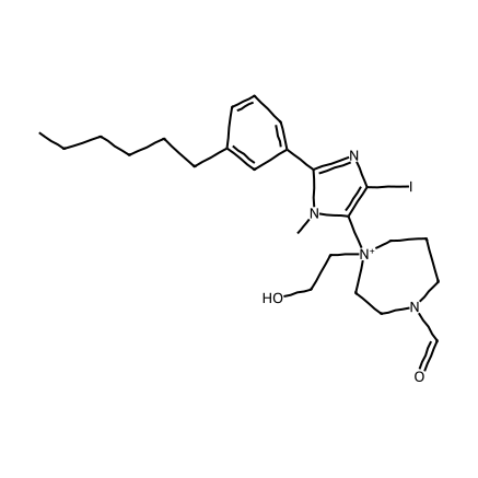 CCCCCCc1cccc(-c2nc(I)c([N+]3(CCO)CCCN(C=O)CC3)n2C)c1